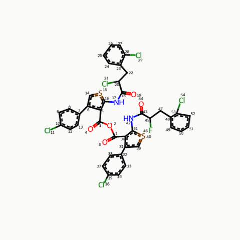 O=C(OC(=O)c1c(-c2ccc(Cl)cc2)csc1NC(=O)C(Cl)Cc1ccccc1Cl)c1c(-c2ccc(Cl)cc2)csc1NC(=O)C(F)Cc1ccccc1Cl